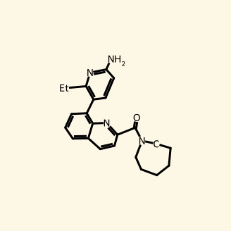 CCc1nc(N)ccc1-c1cccc2ccc(C(=O)N3CCCCCC3)nc12